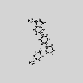 CN1CCN(Cc2ccccc2-c2ccc(C3=CC4N=NN(C)C4C=C3)cc2)CC1